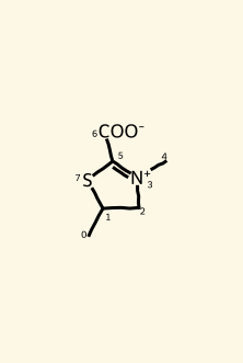 CC1C[N+](C)=C(C(=O)[O-])S1